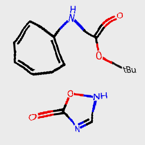 CC(C)(C)OC(=O)Nc1ccccc1.O=c1nc[nH]o1